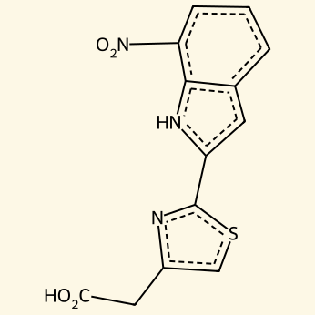 O=C(O)Cc1csc(-c2cc3cccc([N+](=O)[O-])c3[nH]2)n1